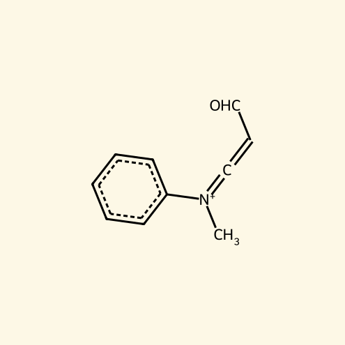 C[N+](=C=CC=O)c1ccccc1